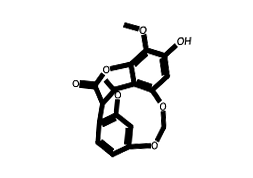 COc1cc2ccc1C1Cc3c(cc(O)c(OC)c3OC1=O)OCO2